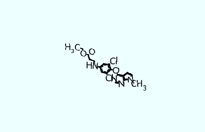 CCOC(=O)CCNc1cc(Cl)c(Oc2ncnc3c2ccn3C)c(Cl)c1